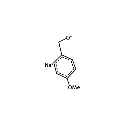 COc1ccc(C[O-])cc1.[Na+]